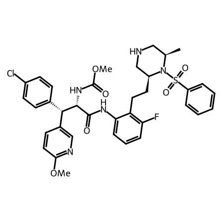 COC(=O)N[C@H](C(=O)Nc1cccc(F)c1CC[C@H]1CNC[C@@H](C)N1S(=O)(=O)c1ccccc1)[C@@H](c1ccc(Cl)cc1)c1ccc(OC)nc1